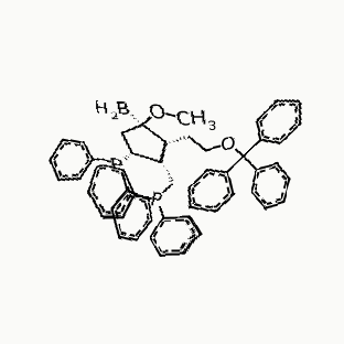 B[C@@]1(OC)C[C@@H](P(c2ccccc2)c2ccccc2)[C@@H](CP(c2ccccc2)c2ccccc2)[C@H]1CCOC(c1ccccc1)(c1ccccc1)c1ccccc1